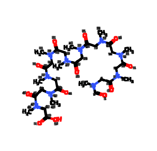 CN(C=O)CC(=O)N(C)CC(=O)N(C)CC(=O)N(C)CC(=O)N(C)CC(=O)N(C)CC(=O)N(C)CC(=O)N(C)CC(=O)N(C)CC(=O)N(C)CC(=O)O